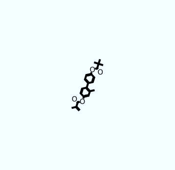 C=C(C)C(=O)Oc1ccc(-c2ccc(OC(=O)C(C)(C)C)cc2)c(C)c1